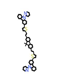 CC1(C)c2cc(/C=C/c3ccc(-c4ccc5c(c4)c4ccccc4n5-c4ccccn4)s3)ccc2-c2ccc(/C=C/c3ccc(-c4ccc5c(c4)c4ccccc4n5-c4ccccn4)s3)cc21